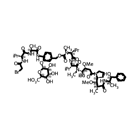 CC[C@H](C)[C@@H]([C@@H](CC(=O)N1CCC[C@H]1[C@H](OC)[C@@H](C)C(=O)N[C@H](C)[C@@H](O)c1ccccc1)OC)N(C)C(=O)[C@@H](NC(=O)[C@H](C(C)C)N(C)C(=O)OCc1ccc(NC(=O)[C@H](C)NC(=O)[C@@H](NC(=O)CBr)C(C)C)c(O[C@@H]2O[C@H](C(=O)O)[C@@H](O)[C@H](O)[C@H]2O)c1)C(C)C